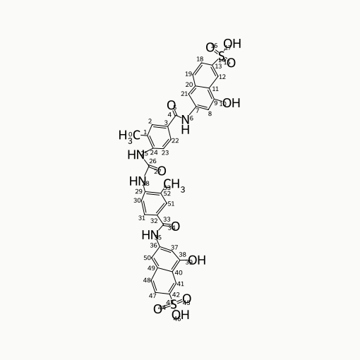 Cc1cc(C(=O)Nc2cc(O)c3cc(S(=O)(=O)O)ccc3c2)ccc1NC(=O)Nc1ccc(C(=O)Nc2cc(O)c3cc(S(=O)(=O)O)ccc3c2)cc1C